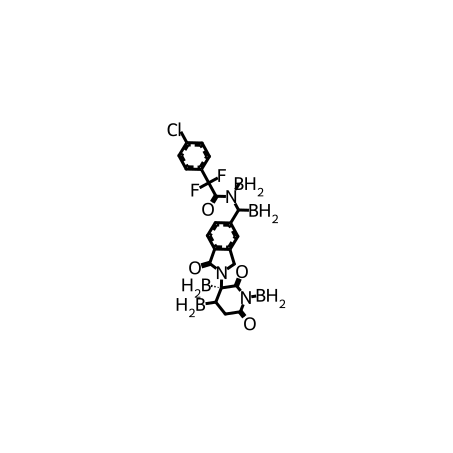 BC(c1ccc2c(c1)CN([C@@]1(B)C(=O)N(B)C(=O)CC1B)C2=O)N(B)C(=O)C(F)(F)c1ccc(Cl)cc1